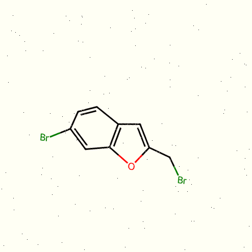 BrCc1cc2ccc(Br)cc2o1